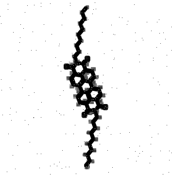 CCCCCCCCCCN1C(=O)c2ccc3c4ccc5c6c(ccc(c7ccc(c2c37)C1=O)c64)C(=O)N(CCCCCCCCCC)C5=O